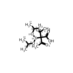 CC(=O)[C](C(C)=O)(C(=O)O)[Ti]([O]C(C)C)[O]C(C)C